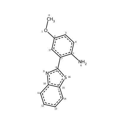 COc1ccc(N)c(-c2nc3ccccc3s2)c1